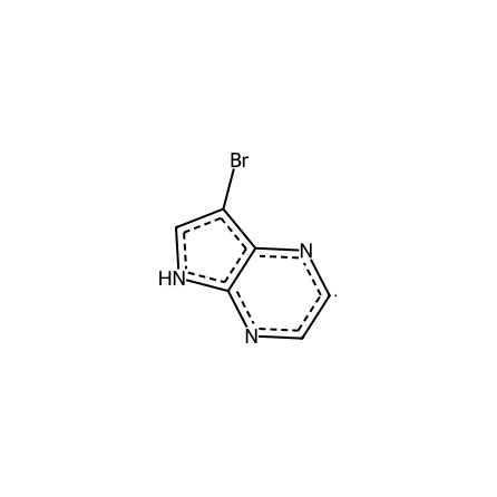 Brc1c[nH]c2nc[c]nc12